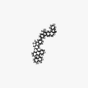 CC1(C)c2ccc(-c3c4ccccc4c(-c4cccc5ccccc45)c4ccccc34)cc2-c2ccc(-c3ccc4c(c3)-c3cc5ccc6sc7ccccc7c6c5cc3C4(C)C)cc21